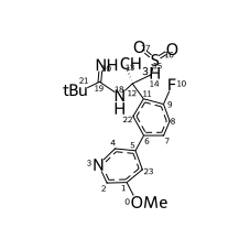 COc1cncc(-c2ccc(F)c([C@](C)(C[SH](=O)=O)NC(=N)C(C)(C)C)c2)c1